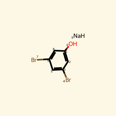 Oc1cc(Br)cc(Br)c1.[NaH]